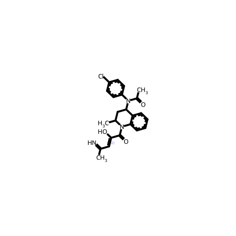 CC(=N)/C=C(\O)C(=O)N1c2ccccc2C(N(C(C)=O)c2ccc(Cl)cc2)CC1C